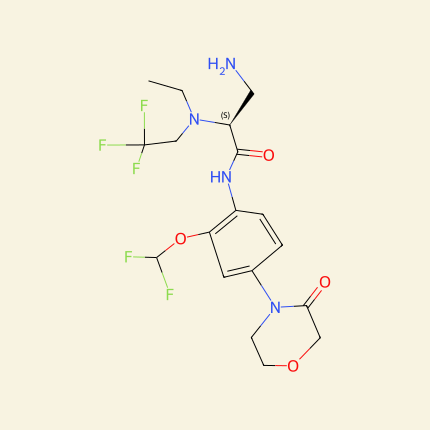 CCN(CC(F)(F)F)[C@@H](CN)C(=O)Nc1ccc(N2CCOCC2=O)cc1OC(F)F